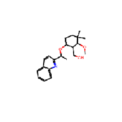 COC1C(CO)C(OC(C)c2ccc3ccccc3n2)CCC1(C)C